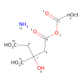 CCCCCCCCC(=O)OC(=O)CC(O)(CC(=O)O)C(=O)O.N